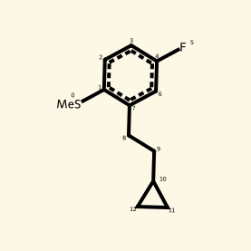 CSc1ccc(F)cc1CCC1CC1